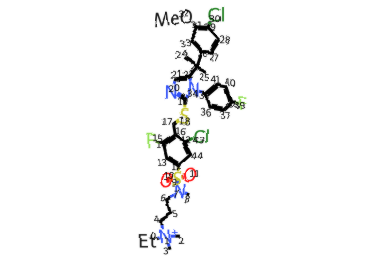 CC[N+](C)(C)CCCN(C)S(=O)(=O)c1cc(F)c(CSc2ncc(C(C)(C)c3ccc(Cl)c(OC)c3)n2-c2ccc(F)cc2)c(Cl)c1